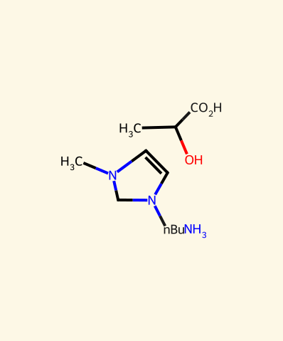 CC(O)C(=O)O.CCCCN1C=CN(C)C1.N